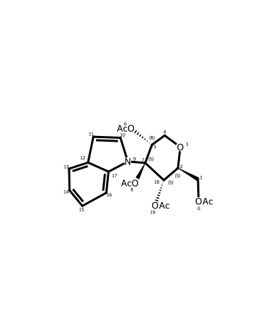 CC(=O)OC[C@@H]1OC[C@@H](OC(C)=O)[C@@](OC(C)=O)(n2ccc3ccccc32)[C@H]1OC(C)=O